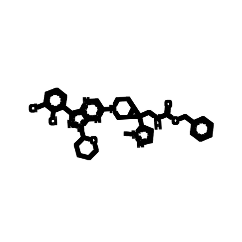 Cn1nccc1C1(CNC(=O)OCc2ccccc2)C2CCN(c3cnc4c(-c5cccc(Cl)c5Cl)nn(C5CCCCO5)c4n3)CC21